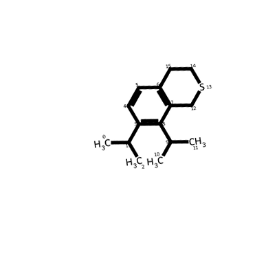 CC(C)c1ccc2c(c1C(C)C)CSCC2